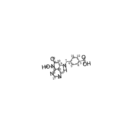 O=C(O)c1ccc(CNc2cc(=O)n(O)c3ncncc23)cc1